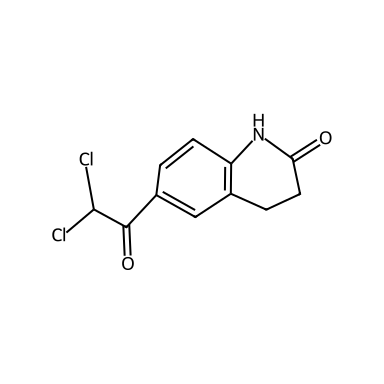 O=C1CCc2cc(C(=O)C(Cl)Cl)ccc2N1